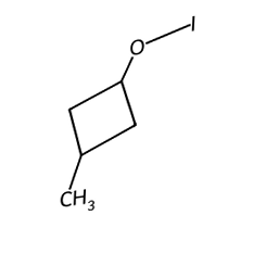 CC1CC(OI)C1